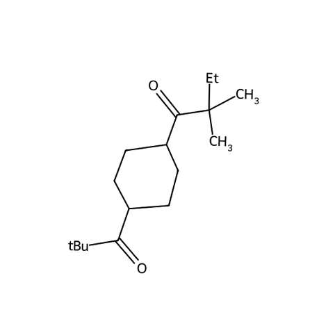 CCC(C)(C)C(=O)C1CCC(C(=O)C(C)(C)C)CC1